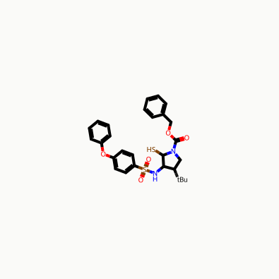 CC(C)(C)C1CN(C(=O)OCc2ccccc2)C(S)C1NS(=O)(=O)c1ccc(Oc2ccccc2)cc1